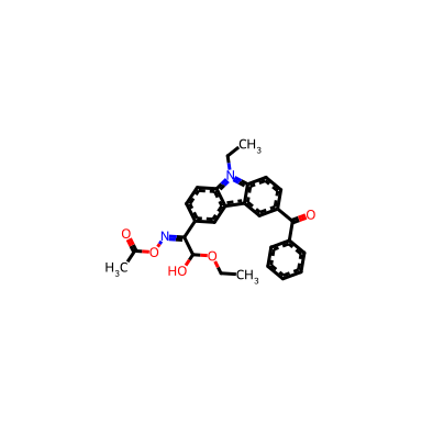 CCOC(O)/C(=N\OC(C)=O)c1ccc2c(c1)c1cc(C(=O)c3ccccc3)ccc1n2CC